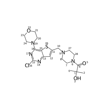 CC(C)(O)C(=O)N1CCN(Cc2cc3nc(Cl)nc(N4CCOCC4)c3s2)CC1